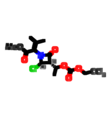 COC(=O)C(=C(C)C)N1C(=O)[C@H](C(C)OC(=O)OCC(Cl)(Cl)Cl)[C@H]1Cl